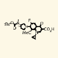 COc1c(N2CC[C@H](N(C)C(=O)OC(C)(C)C)C2)c(F)cc2c(=O)c(C(=O)O)cn(C3CC3)c12